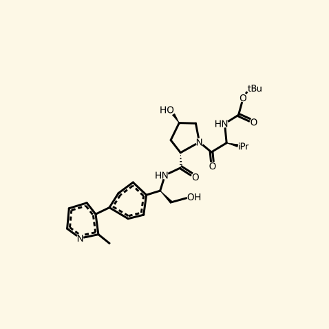 Cc1ncccc1-c1ccc([C@H](CO)NC(=O)[C@@H]2C[C@@H](O)CN2C(=O)[C@@H](NC(=O)OC(C)(C)C)C(C)C)cc1